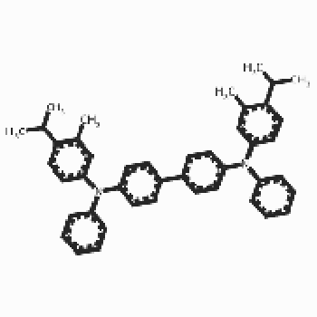 Cc1cc(N(c2ccccc2)c2ccc(-c3ccc(N(c4ccccc4)c4ccc(C(C)C)c(C)c4)cc3)cc2)ccc1C(C)C